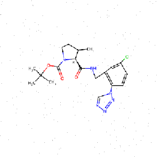 CC1CCN(C(=O)OC(C)(C)C)[C@@H]1C(=O)NCc1cc(Cl)ccc1-n1cnnn1